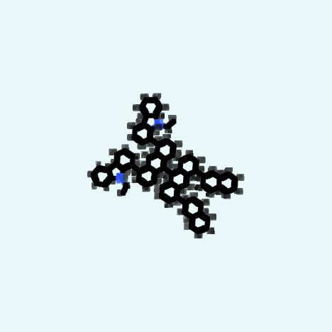 CCn1c2ccccc2c2cccc(-c3cccc4c(-c5c6cccc(-c7ccc8ccccc8c7)c6cc6c(-c7ccc8ccccc8c7)cccc56)c5cccc(-c6cccc7c8ccccc8n(CC)c67)c5cc34)c21